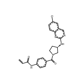 C=CC(=O)Nc1ccc(C(=O)N2CC[C@@H](Nc3ncc4cc(Cl)ccc4n3)C2)cc1